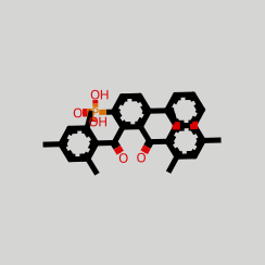 Cc1cc(C)c(C(=O)c2c(-c3ccccc3)ccc(P(=O)(O)O)c2C(=O)c2c(C)cc(C)cc2C)c(C)c1